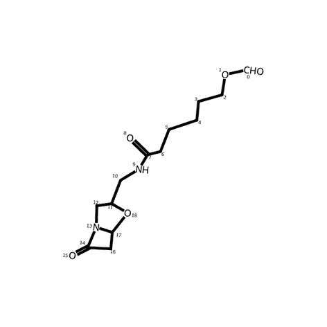 O=COCCCCCC(=O)NCC1CN2C(=O)CC2O1